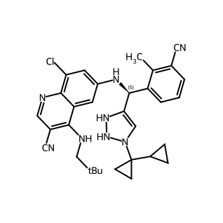 Cc1c(C#N)cccc1[C@H](Nc1cc(Cl)c2ncc(C#N)c(NCC(C)(C)C)c2c1)C1=CN(C2(C3CC3)CC2)NN1